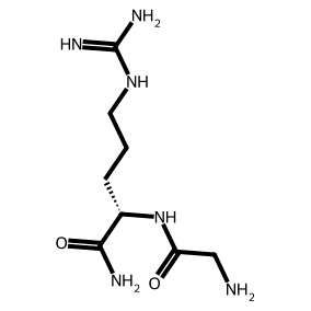 N=C(N)NCCC[C@H](NC(=O)CN)C(N)=O